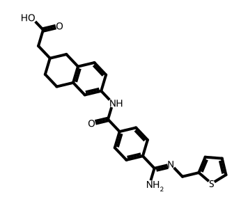 NC(=NCc1cccs1)c1ccc(C(=O)Nc2ccc3c(c2)CCC(CC(=O)O)C3)cc1